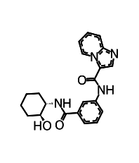 O=C(N[C@H]1CCCC[C@@H]1O)c1cccc(NC(=O)c2cnc3ccccn23)c1